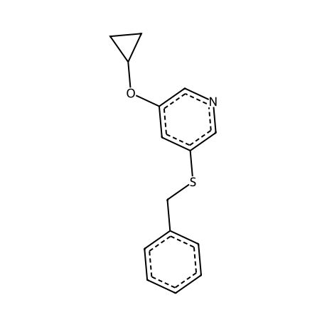 c1ccc(CSc2cncc(OC3CC3)c2)cc1